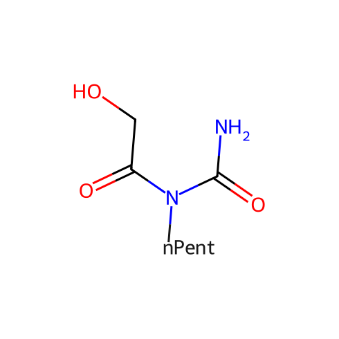 CCCCCN(C(N)=O)C(=O)CO